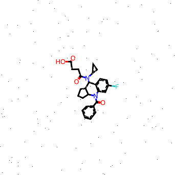 O=C(O)CCC(=O)N(C1CC1)C1c2ccc(F)cc2N(C(=O)c2ccccc2)C2CCCC21